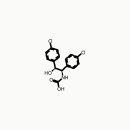 O=C(O)N[C@H](c1ccc(Cl)cc1)[C@@H](O)c1ccc(Cl)cc1